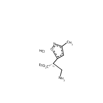 CCOC(=O)[C@@H](CN)c1cc(C)no1.Cl